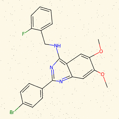 COc1cc2nc(-c3ccc(Br)cc3)nc(NCc3ccccc3F)c2cc1OC